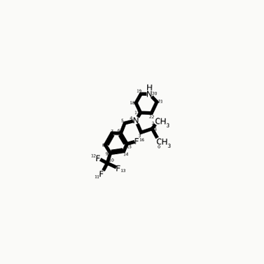 CC(C)CN(Cc1ccc(C(F)(F)F)cc1F)C1CCNCC1